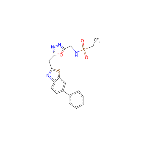 O=S(=O)(CC(F)(F)F)NCc1nnc(Cc2nc3ccc(-c4ccccc4)cc3s2)o1